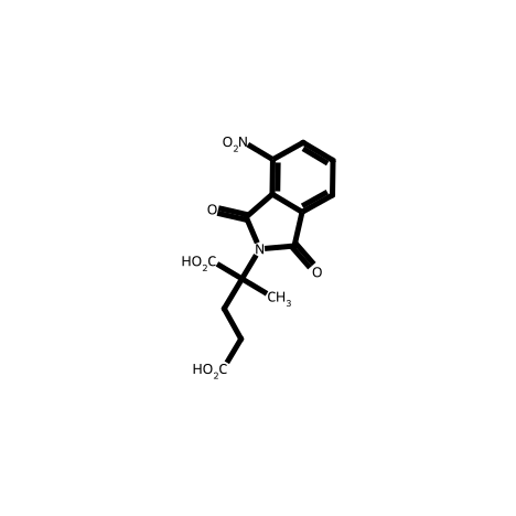 CC(CCC(=O)O)(C(=O)O)N1C(=O)c2cccc([N+](=O)[O-])c2C1=O